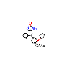 COc1ccc(/C(=C/C2=C[N]C(=O)N2)c2ccccc2)cc1OC1CCCC1